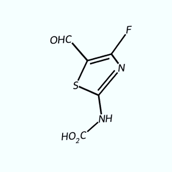 O=Cc1sc(NC(=O)O)nc1F